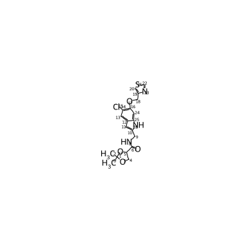 CC1(C)OCC(C(=O)NCc2cc3cc(Cl)c(OCc4cscn4)cc3[nH]2)O1